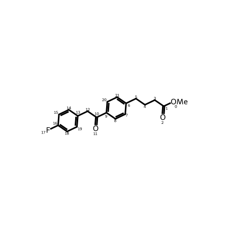 COC(=O)CCCc1ccc(C(=O)Cc2ccc(F)cc2)cc1